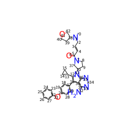 CN(C/C=C/C(=O)N1CC[C@@H](n2c(C3CC3)c(-c3ccc(Oc4ccccc4)cc3)c3c(N)ncnc32)C1)[C@@H]1CCOC1